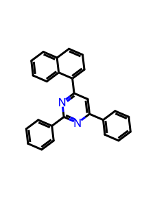 c1ccc(-c2cc(-c3cccc4ccccc34)nc(-c3ccccc3)n2)cc1